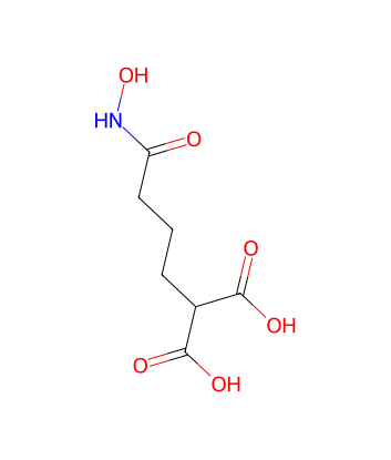 O=C(CCCC(C(=O)O)C(=O)O)NO